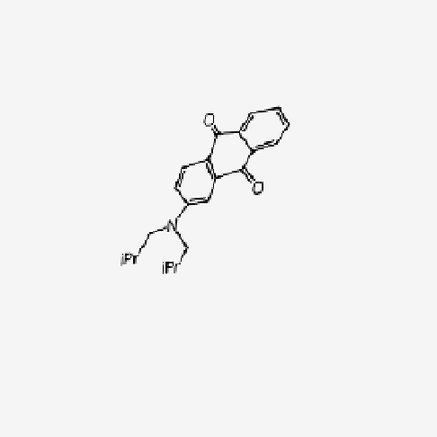 CC(C)CN(CC(C)C)c1ccc2c(c1)C(=O)c1ccccc1C2=O